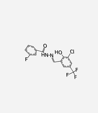 O=C(N/N=C/c1cc(C(F)(F)F)cc(Cl)c1O)c1cccc(F)c1